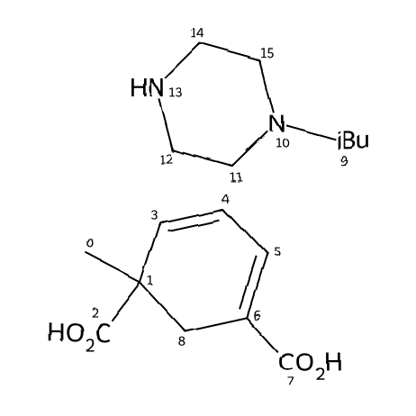 CC1(C(=O)O)C=CC=C(C(=O)O)C1.CCC(C)N1CCNCC1